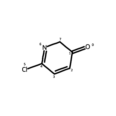 O=C1C=CC(Cl)=NC1